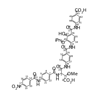 COC(C(=O)O)C(NC(=O)c1ccc(NC(=O)c2ccc([N+](=O)[O-])cc2)cc1)C(=O)Nc1ccc(C(=O)Nc2ccc(C(=O)Nc3ccc(C(=O)O)cc3)c(O)c2OC(C)C)cc1